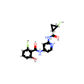 O=C(Nc1ccnc(NC(=O)[C@@H]2C[C@H]2F)c1)c1c(F)cccc1Br